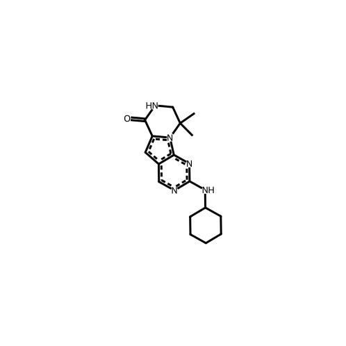 CC1(C)CNC(=O)c2cc3cnc(NC4CCCCC4)nc3n21